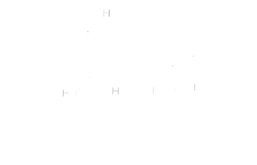 CC1(C)CCC(C)(C)c2cc(C(=O)C(F)(F)c3ccccc3)ccc21